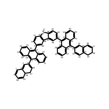 C1=CC2=CC(c3c4ccccc4c(-c4ccc5sc6ccc(-c7c8ccccc8c(-c8ccc9c(c8)C=CCC9)c8ccccc78)cc6c5c4)c4ccccc34)=CCC2C=C1